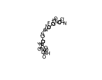 CCn1c2c(c3ccc(C4CCN(CC5CN(c6ccc(-c7ccc8c(c7)C(C)(C)C(=O)N8c7ccc(C#N)c(Cl)c7)c(F)n6)C5)CC4)cc31)C(=O)N(C1CCC(=O)NC1=O)C2=O